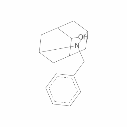 OC1C2CC3CC1CC(C2)N3Cc1ccccc1